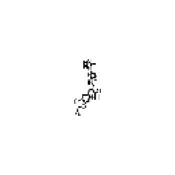 Cc1nnnn1-c1csc(N[C@@H](C)c2cc3cc(Cl)c(OCC4CC4)cc3[nH]c2=O)n1